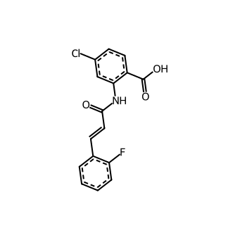 O=C(C=Cc1ccccc1F)Nc1cc(Cl)ccc1C(=O)O